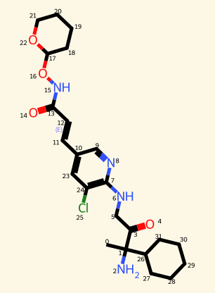 CC(N)(C(=O)CNc1ncc(/C=C/C(=O)NOC2CCCCO2)cc1Cl)C1CCCCC1